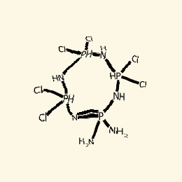 NP1(N)=N[PH](Cl)(Cl)N[PH](Cl)(Cl)N[PH](Cl)(Cl)N1